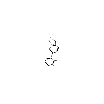 N#Cc1cccc(-c2ccc3c(c2)CNC3)c1F